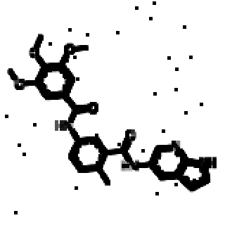 COc1cc(C(=O)Nc2ccc(C)c(C(=O)Nc3cnc4[nH]ccc4c3)c2)cc(OC)c1OC